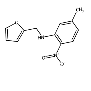 Cc1ccc([N+](=O)[O-])c(NCc2ccco2)c1